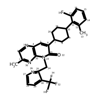 Cc1cnc2cc(C3CCC(c4c(C)cccc4F)CC3)c(=O)n(Cc3ncccc3C(F)(F)F)c2n1